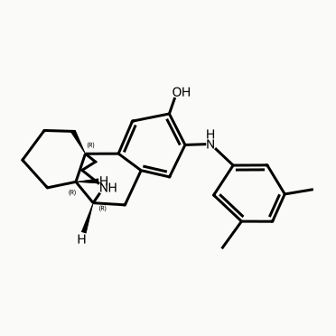 Cc1cc(C)cc(Nc2cc3c(cc2O)[C@@]24CCCC[C@H]2[C@@H](C3)NCC4)c1